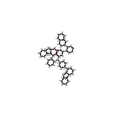 c1cc(-c2ccccc2-c2ccc3ccccc3c2)cc(N(c2ccc(-c3cccc4c3oc3ccccc34)cc2)c2ccccc2-c2cccc3sc4ccccc4c23)c1